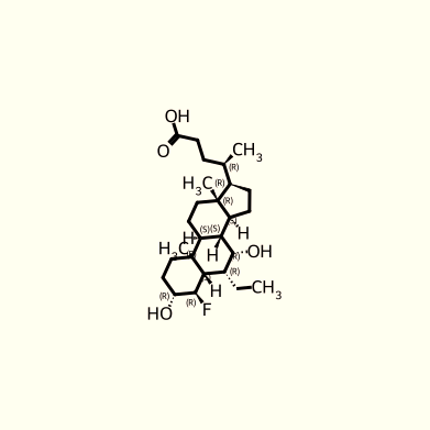 CC[C@H]1[C@@H](O)[C@@H]2[C@H](CC[C@]3(C)[C@@H]([C@H](C)CCC(=O)O)CC[C@@H]23)[C@@]2(C)CC[C@@H](O)[C@H](F)[C@@H]12